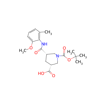 COc1cccc(C)c1NC(=O)[C@H]1C[C@@H](C(=O)O)CN(C(=O)OC(C)(C)C)C1